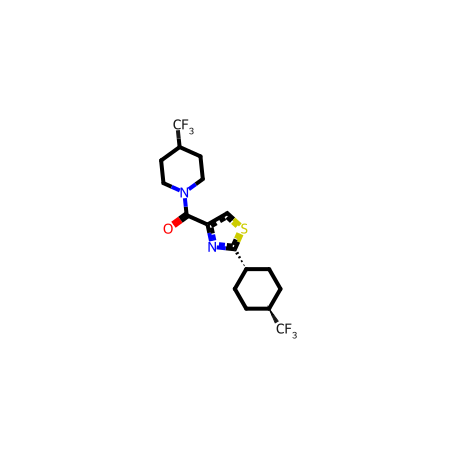 O=C(c1csc([C@H]2CC[C@H](C(F)(F)F)CC2)n1)N1CCC(C(F)(F)F)CC1